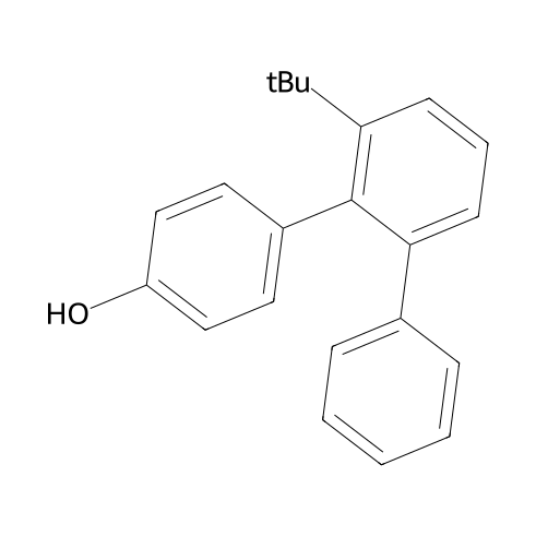 CC(C)(C)c1cccc(-c2ccccc2)c1-c1ccc(O)cc1